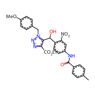 CCOC(=O)c1nnn(Cc2ccc(OC)cc2)c1C(O)c1ccc(NC(=O)c2ccc(C)cc2)cc1[N+](=O)[O-]